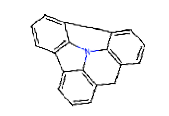 c1cc2c3c(c1)c1cccc4c5cccc(c5n3c14)C2